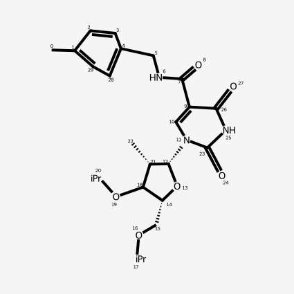 Cc1ccc(CNC(=O)c2cn([C@@H]3O[C@H](COC(C)C)C(OC(C)C)[C@@H]3C)c(=O)[nH]c2=O)cc1